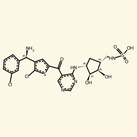 N[C@H](c1cccc(Cl)c1)c1cc(C(=O)c2cncnc2N[C@@H]2C[C@H]([CH]NS(=O)(=O)O)[C@@H](O)[C@H]2O)sc1Cl